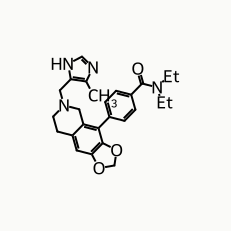 CCN(CC)C(=O)c1ccc(-c2c3c(cc4c2OCO4)CCN(Cc2[nH]cnc2C)C3)cc1